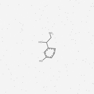 O=[N+]([O-])CC(O)c1cccc(O)c1